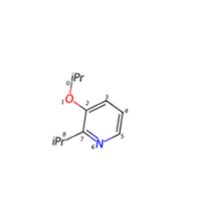 CC(C)Oc1cccnc1C(C)C